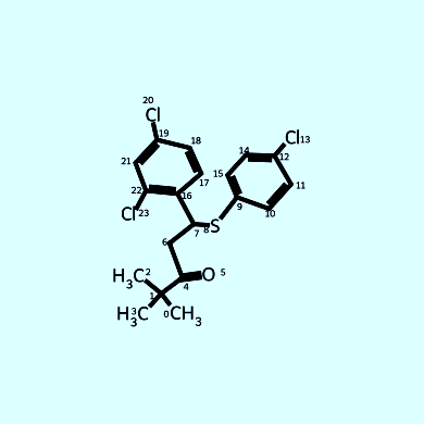 CC(C)(C)C(=O)CC(Sc1ccc(Cl)cc1)c1ccc(Cl)cc1Cl